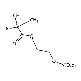 CCOC(=O)OCCOC(=O)C(C)(C)CC